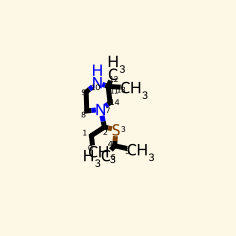 CCC(SC(C)C)N1CCNC(C)(C)C1